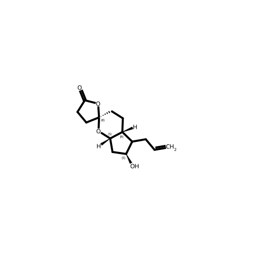 C=CCC1[C@H]2CC[C@@]3(CCC(=O)O3)O[C@H]2C[C@@H]1O